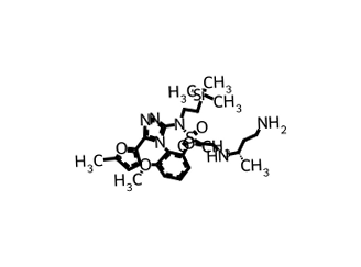 COc1cccc(OC)c1-n1c(-c2ccc(C)o2)nnc1N(CC[Si](C)(C)C)S(=O)(=O)CCN[C@@H](C)CCN